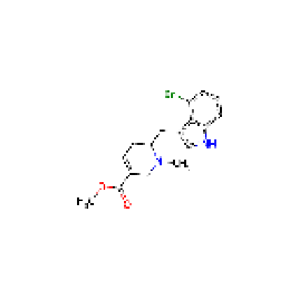 COC(=O)C1=CCC(Cc2c[nH]c3cccc(Br)c23)N(C)C1